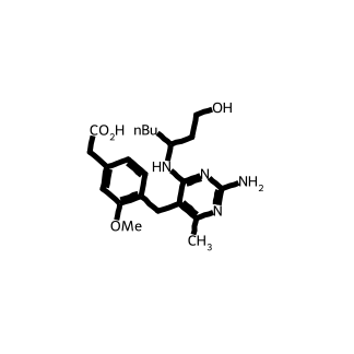 CCCCC(CCO)Nc1nc(N)nc(C)c1Cc1ccc(CC(=O)O)cc1OC